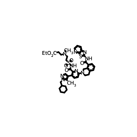 CCOC(=O)CCN(C)CCS(=O)(=O)NC(=O)c1nc(N2CCc3cccc(C(=O)Nc4nc5cccnc5s4)c3C2)ccc1-c1cnn(CC2CCCCC2)c1C